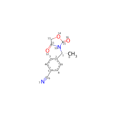 C[C@H](c1ccc(C#N)cc1)N1C(=O)COC1=O